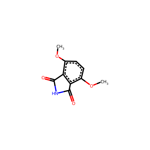 COc1ccc(OC)c2c1C(=O)NC2=O